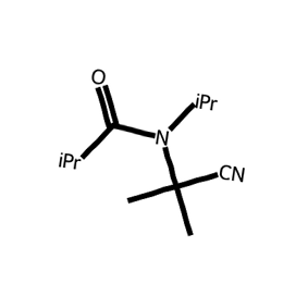 CC(C)C(=O)N(C(C)C)C(C)(C)C#N